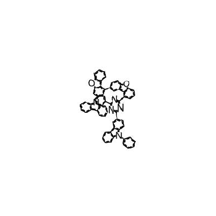 c1ccc(-c2nc(-c3ccc4c(c3)c3ccccc3n4-c3ccccc3)nc(-c3cccc4oc5ccc(-c6cc(-n7c8ccccc8c8ccccc87)cc7oc8ccccc8c67)cc5c34)n2)cc1